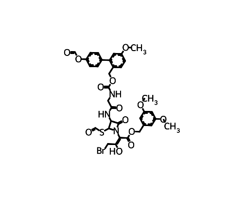 COc1cc(COC(=O)C(=C(O)CBr)N2C(=O)C(NC(=O)CNC(=O)OCc3ccc(OC)cc3-c3ccc(OC=O)cc3)C2SC=O)cc(OC)c1